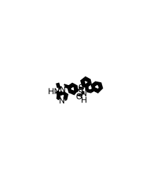 CC1Nc2cnccc2N1Cc1ccc(S(=O)(=O)NC(Cc2ccccc2)c2ccccc2)cc1